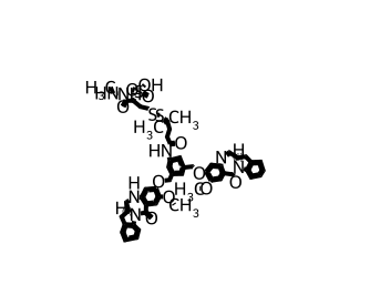 CNNC(=O)C(CCSSC(C)(C)CCC(=O)Nc1cc(COc2cc3c(cc2OC)C(=O)N2c4ccccc4C[C@H]2C=N3)cc(COc2cc3c(cc2OC)C(=O)N2c4ccccc4C[C@H]2CN3)c1)S(=O)(=O)O